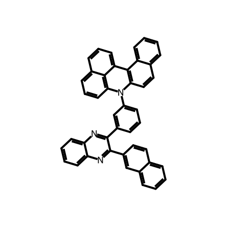 c1cc(-c2nc3ccccc3nc2-c2ccc3ccccc3c2)cc(N2c3ccc4ccccc4c3-c3cccc4cccc2c34)c1